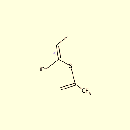 C=C(S/C(=C\C)C(C)C)C(F)(F)F